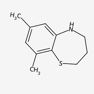 Cc1cc(C)c2c(c1)NCCCS2